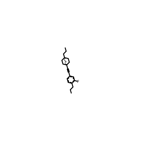 CCCc1ccc(C#CC23CCC(CCC)(CC2)CC3)cc1F